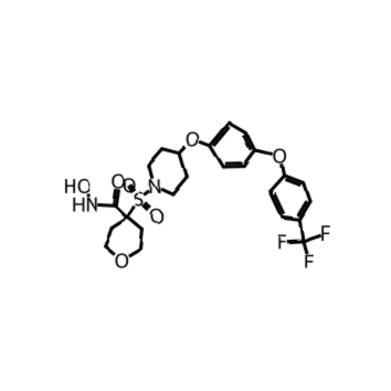 O=C(NO)C1(S(=O)(=O)N2CCC(Oc3ccc(Oc4ccc(C(F)(F)F)cc4)cc3)CC2)CCOCC1